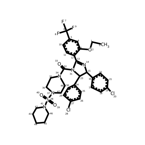 CCOc1cc(C(F)(F)F)ccc1C1=NC(c2ccc(Cl)cc2)C(c2ccc(Cl)cc2)N1C(=O)N1CCN(S(=O)(=O)N2CCCCC2)CC1